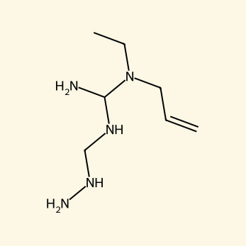 C=CCN(CC)C(N)NCNN